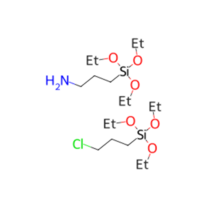 CCO[Si](CCCCl)(OCC)OCC.CCO[Si](CCCN)(OCC)OCC